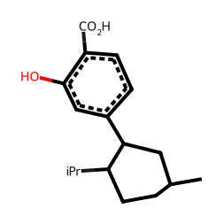 CC1CCC(C(C)C)C(c2ccc(C(=O)O)c(O)c2)C1